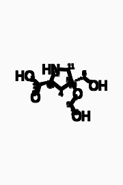 O=C(O)[C@@H]1C[C@](CO)(OCO)CN1